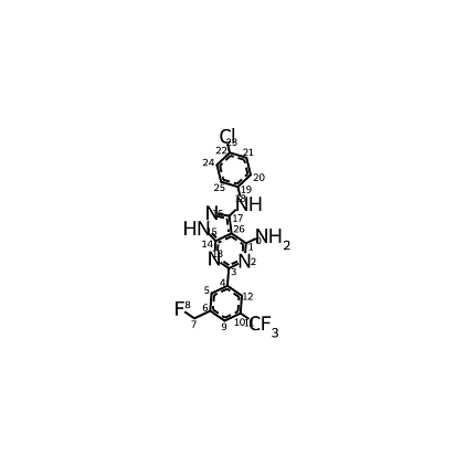 Nc1nc(-c2cc(CF)cc(C(F)(F)F)c2)nc2[nH]nc(Nc3ccc(Cl)cc3)c12